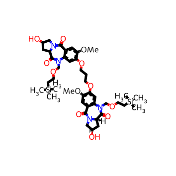 COc1cc2c(cc1OCCCOc1cc3c(cc1OC)C(=O)N1C[C@H](O)C[C@H]1C(=O)N3COCC[Si](C)(C)C)N(COCC[Si](C)(C)C)C(=O)C1CC(O)CN1C2=O